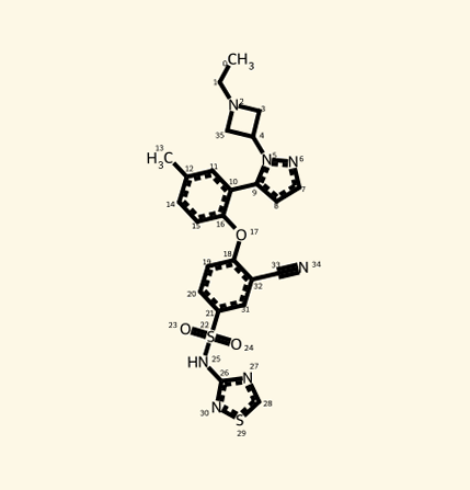 CCN1CC(n2nccc2-c2cc(C)ccc2Oc2ccc(S(=O)(=O)Nc3ncsn3)cc2C#N)C1